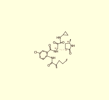 C=C(CCF)C(=O)Nc1ccc(Cl)cc1C(=O)N[C@@H](C[C@@H]1C[C@@H](C)NC1=O)C(=O)C(=O)NC1CC1